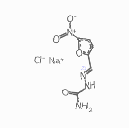 NC(=O)N/N=C/c1ccc([N+](=O)[O-])o1.[Cl-].[Na+]